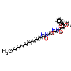 CCC=CCC=CCC=CCC=CCC=CCCCC(=O)NCCOCCNC(=O)C1=CC(=O)C(C)(c2ccccc2)O1